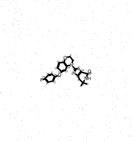 CC1(C)Cc2nc(N3CCOc4ccc(Oc5ccc(F)cc5)cc43)sc2C(=O)N1